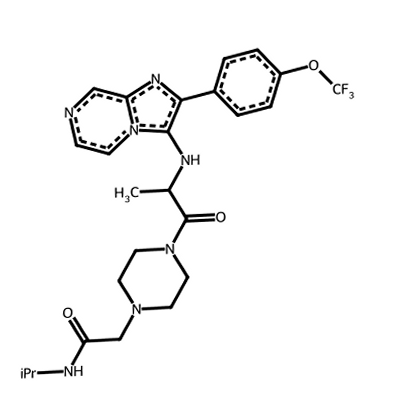 CC(C)NC(=O)CN1CCN(C(=O)C(C)Nc2c(-c3ccc(OC(F)(F)F)cc3)nc3cnccn23)CC1